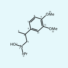 CCCN(O)CC(C)c1ccc(OC)c(OC)c1